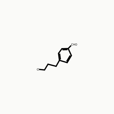 O=Cc1ccc(CCCCl)cc1